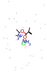 C=C(C)C(=O)OC(C)[N+](C)(C)C.N.[Cl-]